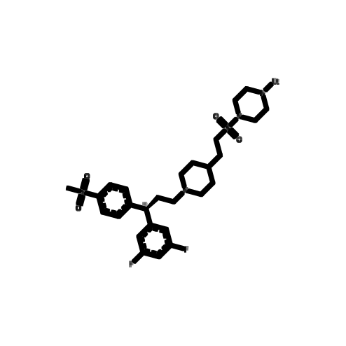 CCN1CCN(S(=O)(=O)CCC2CCN(CC[C@H](c3ccc(S(C)(=O)=O)cc3)c3cc(F)cc(F)c3)CC2)CC1